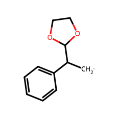 [CH2]C(c1ccccc1)C1OCCO1